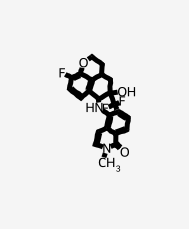 Cn1ccc2c(NC3c4ccc(F)c5c4C(CCO5)CC3(O)C(F)(F)F)cccc2c1=O